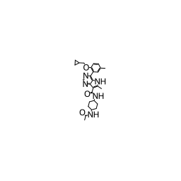 CC(=O)N[C@H]1CC[C@@H](NC(=O)c2c(C)[nH]c3c(-c4cc(C)ccc4OCC4CC4)ncnc23)CC1